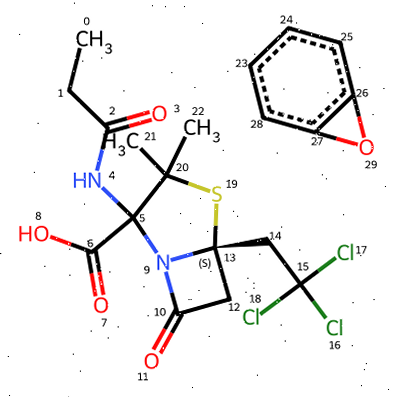 CCC(=O)NC1(C(=O)O)N2C(=O)C[C@@]2(CC(Cl)(Cl)Cl)SC1(C)C.c1ccc2c(c1)O2